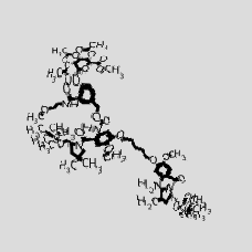 C=C1C[C@@H](CO[Si](C)(C)C(C)(C)C)N(C(=O)c2cc(OC)c(OCCCCCOc3cc(NC(=O)OCc4ccc(O[C@@H]5O[C@H](C(=O)OC)[C@@H](OC(C)=O)[C@H](OC(C)=O)[C@H]5OC(C)=O)c(C(=O)NCCOC)c4)c(C(=O)N4CC(C)(C)C[C@H]4CO[Si](C)(C)C(C)(C)C)cc3OC)cc2N)C1